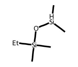 CC[Si](C)(C)O[SiH](C)C